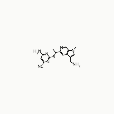 CC(Sc1nc(N)cc(C#N)n1)c1cc2c(CN)cn(C)c2cn1